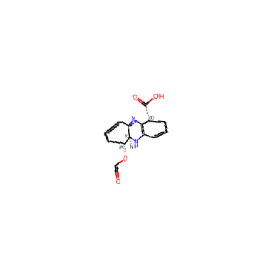 O=CO[C@@H]1CC=CC2=NC3=C(C=CC[C@H]3C(=O)O)N[C@H]21